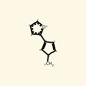 CC1[C]=CC(c2ccco2)=C1